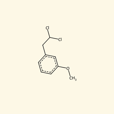 COc1cccc(CC(Cl)Cl)c1